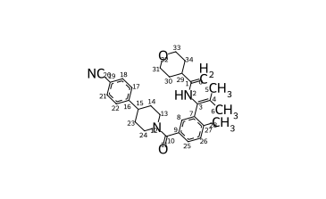 C=C(NC(=C(C)C)c1cc(C(=O)N2CCC(c3ccc(C#N)cc3)CC2)ccc1C)C1CCOCC1